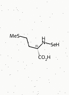 CSCC[C@H](N[SeH])C(=O)O